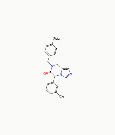 COc1ccc(CN2Cc3cncn3C(c3cccc(C#N)c3)C2=O)cc1